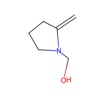 C=C1CCCN1CO